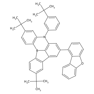 CC(C)(C)c1cccc(N2c3cc(C(C)(C)C)ccc3B3c4ccc(C(C)(C)C)cc4-c4cc(-c5cccc6oc7ccccc7c56)cc2c43)c1